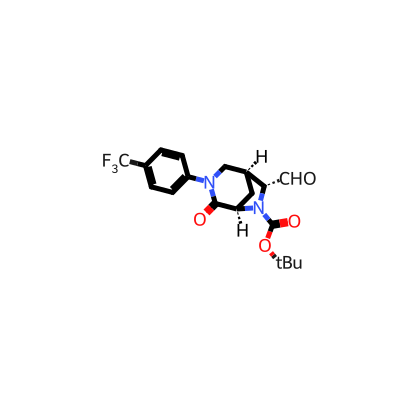 CC(C)(C)OC(=O)N1[C@@H]2C[C@@H](CN(c3ccc(C(F)(F)F)cc3)C2=O)[C@@H]1C=O